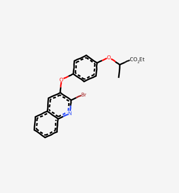 CCOC(=O)C(C)Oc1ccc(Oc2cc3ccccc3nc2Br)cc1